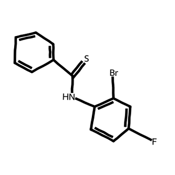 Fc1ccc(NC(=S)c2ccccc2)c(Br)c1